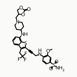 COc1cc(S(N)(=O)=O)ccc1NCC#Cc1sc2c(NC3CCN(CC4COC(=O)O4)CC3)cccc2c1CC(F)(F)F